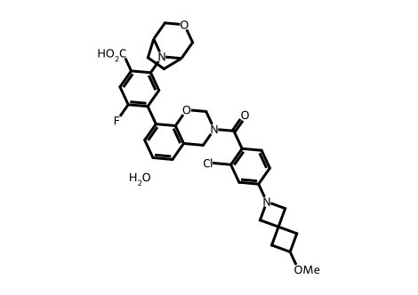 COC1CC2(C1)CN(c1ccc(C(=O)N3COc4c(cccc4-c4cc(N5C6CCC5COC6)c(C(=O)O)cc4F)C3)c(Cl)c1)C2.O